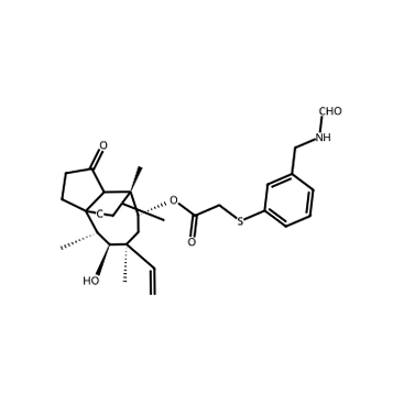 C=C[C@]1(C)C[C@@H](OC(=O)CSc2cccc(CNC=O)c2)[C@]2(C)C(C)CCC3(CCC(=O)C32)[C@@H](C)[C@@H]1O